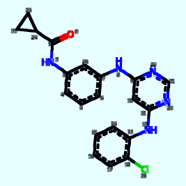 O=C(Nc1cccc(Nc2cc(Nc3ccccc3Cl)ncn2)c1)C1CC1